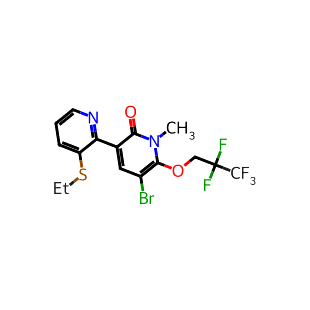 CCSc1cccnc1-c1cc(Br)c(OCC(F)(F)C(F)(F)F)n(C)c1=O